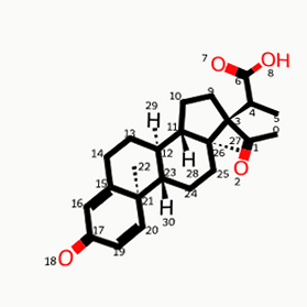 CC(=O)[C@@]1(C(C)C(=O)O)CC[C@H]2[C@@H]3CCC4=CC(=O)C=C[C@]4(C)[C@H]3CC[C@@]21C